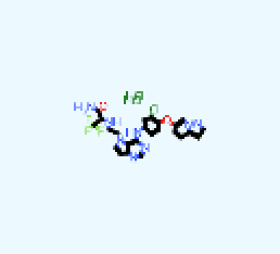 Cl.Cl.NC(=O)[C@@H](NCCn1ccc2ncnc(Nc3ccc(Oc4ccc5ccnn5c4)c(Cl)c3)c21)C(F)(F)F